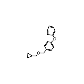 c1ccc(Oc2ccc(COCC3CC3)cc2)cc1